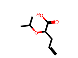 C=CCC(OC(C)C)C(=O)O